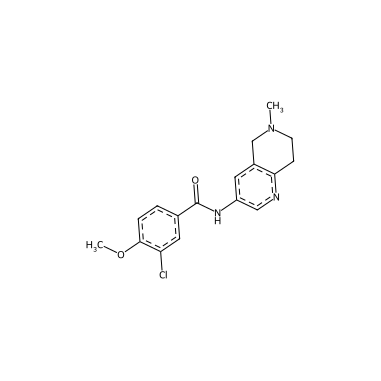 COc1ccc(C(=O)Nc2cnc3c(c2)CN(C)CC3)cc1Cl